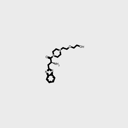 N[C@@H](Cc1nc2ccccc2s1)C(=O)N1CCN(CCOCCO)CC1